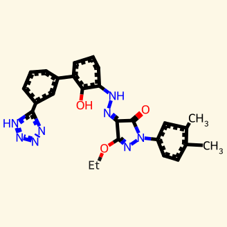 CCOC1=NN(c2ccc(C)c(C)c2)C(=O)/C1=N\Nc1cccc(-c2cccc(-c3nnn[nH]3)c2)c1O